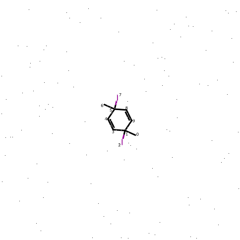 CC1(I)C=CC(C)(I)C=C1